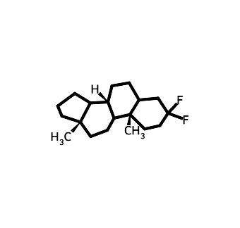 C[C@@]12CCCC1[C@@H]1CCC3CC(F)(F)CC[C@]3(C)C1CC2